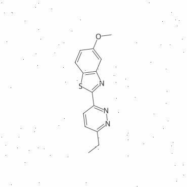 CCc1ccc(-c2nc3cc(OC)ccc3s2)nn1